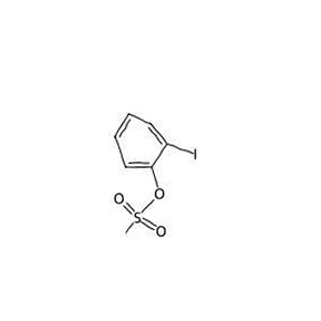 CS(=O)(=O)Oc1ccccc1I